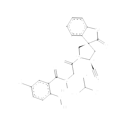 COc1ccc(Cl)cc1C(=O)N(C)[C@@H](CC(C)C)C(=O)N1C[C@]2(C[C@H]1C#N)C(=O)Nc1ccccc12